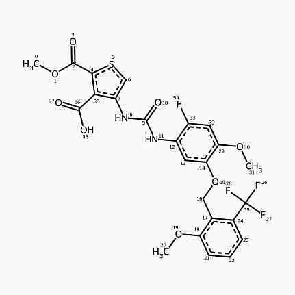 COC(=O)c1scc(NC(=O)Nc2cc(OCc3c(OC)cccc3C(F)(F)F)c(OC)cc2F)c1C(=O)O